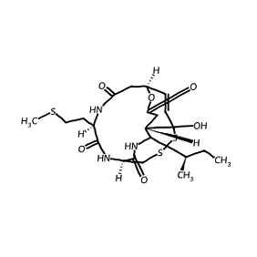 CC[C@@H](C)C1NC(=O)[C@H]2CSSC/C=C/[C@H](CC(=O)N[C@H](CCSC)C(=O)N2)OC(=O)C[C@@H]1O